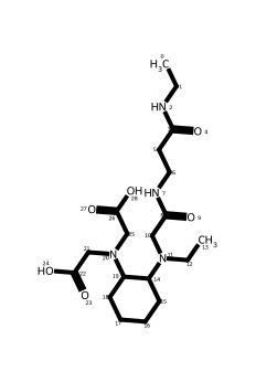 CCNC(=O)CCNC(=O)CN(CC)C1CCCCC1N(CC(=O)O)CC(=O)O